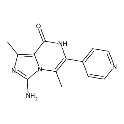 Cc1nc(N)n2c(C)c(-c3ccncc3)[nH]c(=O)c12